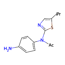 CC(=O)N(c1ccc(N)cc1)c1ncc(C(C)C)s1